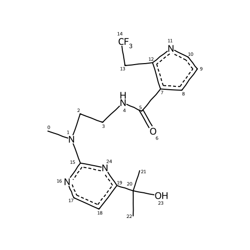 CN(CCNC(=O)c1cccnc1CC(F)(F)F)c1nccc(C(C)(C)O)n1